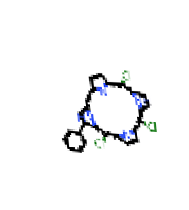 Clc1c2nc(cc3cc(-c4ccccc4)c([nH]3)c(Cl)c3nc(c(Cl)c4ccc1[nH]4)C=C3)C=C2